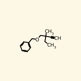 C#CC(C)(CC)COCc1ccccc1